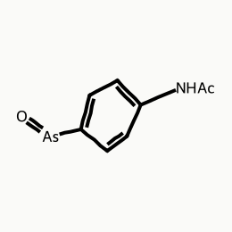 CC(=O)Nc1ccc([As]=O)cc1